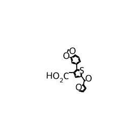 O=C(O)Cc1cc(C(=O)c2ccco2)sc1-c1ccc2c(c1)OCO2